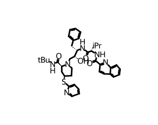 CC(C)[C@H](NC(=O)c1ccc2ccccc2n1)C(=O)N[C@@H](Cc1ccccc1)[C@H](O)CN1CC[C@@H](Sc2ccccn2)C[C@H]1C(=O)NC(C)(C)C